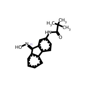 CC(C)(C)C(=O)Nc1ccc2c(c1)/C(=N/O)c1ccccc1-2